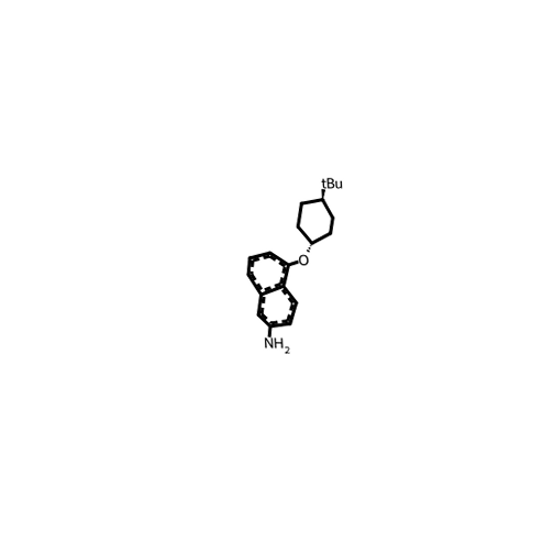 CC(C)(C)[C@H]1CC[C@H](Oc2cccc3cc(N)ccc23)CC1